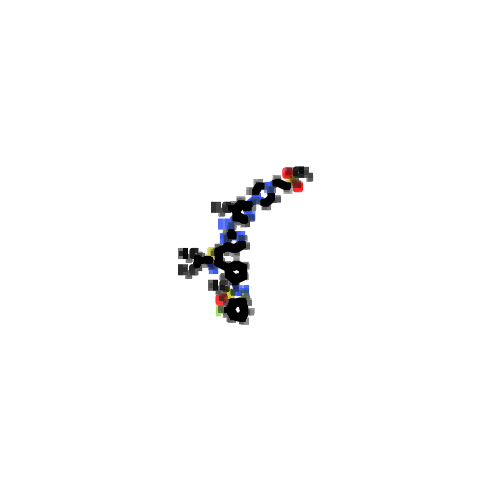 C=S(=O)(Nc1cccc(-c2nc(C(C)C)sc2-c2ccnc(Nc3cnc(N4CCN(CCS(C)(=O)=O)CC4)cc3C)n2)c1)c1c(F)cccc1F